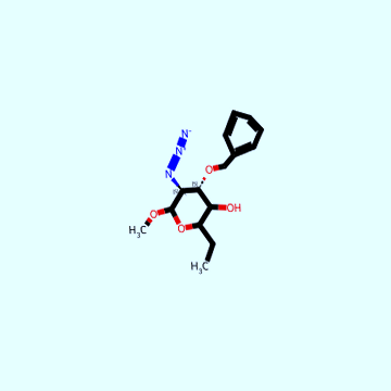 CCC1OC(OC)[C@@H](N=[N+]=[N-])[C@H](OCc2ccccc2)C1O